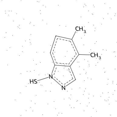 Cc1ccc2c(cnn2S)c1C